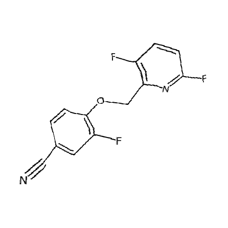 N#Cc1ccc(OCc2nc(F)ccc2F)c(F)c1